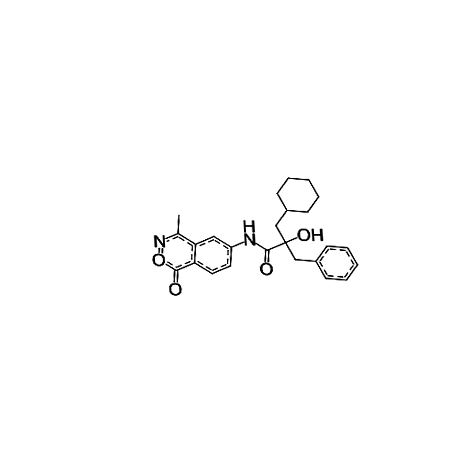 Cc1noc(=O)c2ccc(NC(=O)C(O)(Cc3ccccc3)CC3CCCCC3)cc12